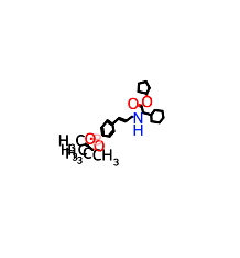 CC1(C)OB(c2ccc(/C=C/CN[C@H](C(=O)OC3CCCC3)C3CCCCC3)cc2)OC1(C)C